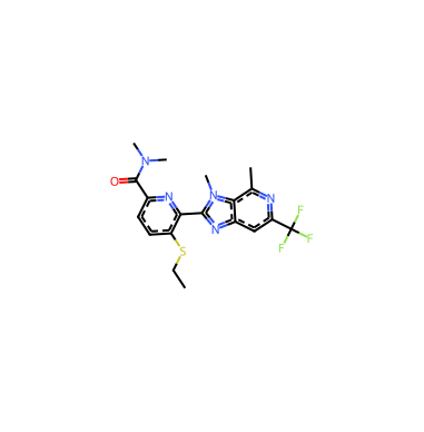 CCSc1ccc(C(=O)N(C)C)nc1-c1nc2cc(C(F)(F)F)nc(C)c2n1C